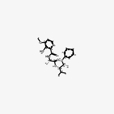 COc1ccnc(C(=S)N[C@@H](C)C(=O)O[C@@H](C(C)C)[C@@H](C)Oc2ccccc2)c1O